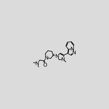 CN(C)CC(=O)N1CCC[C@H](N2C=C(c3cnn4ccccc34)N(C)C2)C1